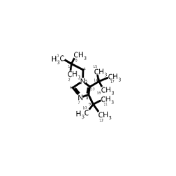 CC(C)(C)Cn1cnc(C(C)(C)C)c1C(C)(C)C